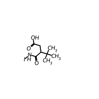 CC(C)(C)C(CC(=O)O)C(=O)NI